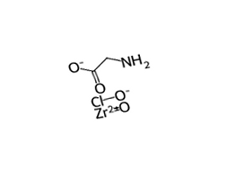 NCC(=O)[O-].[O-]Cl.[O]=[Zr+2]